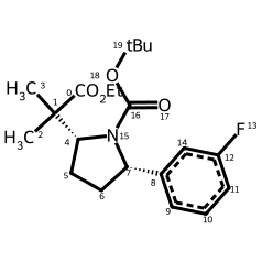 CCOC(=O)C(C)(C)[C@H]1CC[C@@H](c2cccc(F)c2)N1C(=O)OC(C)(C)C